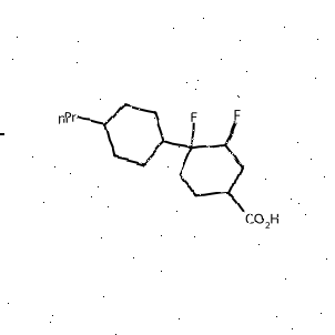 CCCC1CCC(C2(F)CCC(C(=O)O)CC2F)CC1